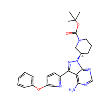 CC(C)(C)OC(=O)N1CCC[C@@H](n2nc(-c3ccc(Oc4ccccc4)cn3)c3c(N)ncnc32)C1